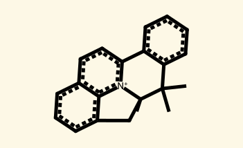 CC1(C)c2ccccc2-c2ccc3cccc4c3[n+]2C1(C)C4